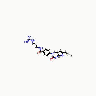 C=Cc1cc2cn(-c3ccc(C(=O)NCCCNC(=N)N)cc3)c(=O)nc2[nH]1